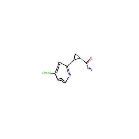 NC(=O)C1CC1c1cc(Cl)ccn1